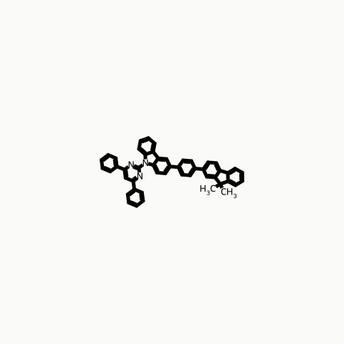 CC1(C)c2ccccc2-c2ccc(-c3ccc(-c4ccc5c(c4)c4ccccc4n5-c4nc(-c5ccccc5)cc(-c5ccccc5)n4)cc3)cc21